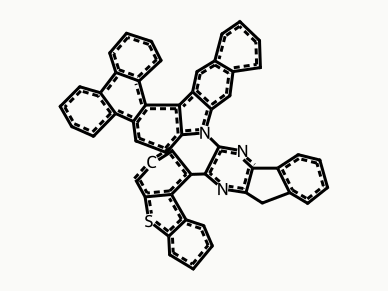 c1ccc2c(c1)Cc1nc(-c3cccc4sc5ccccc5c34)c(-n3c4cc5ccccc5cc4c4c5c6ccccc6c6ccccc6c5ccc43)nc1-2